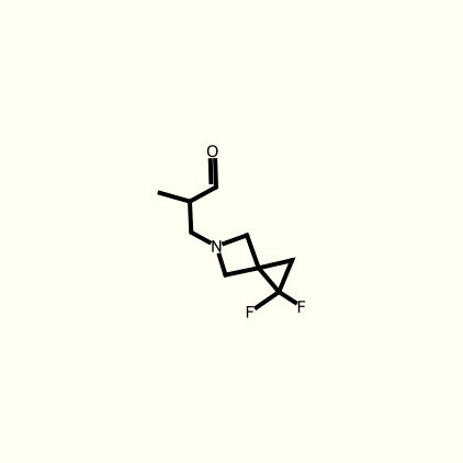 CC(C=O)CN1CC2(C1)CC2(F)F